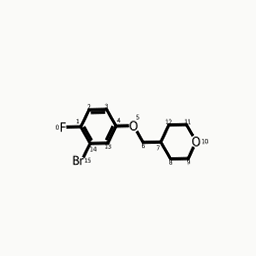 Fc1ccc(OCC2CCOCC2)cc1Br